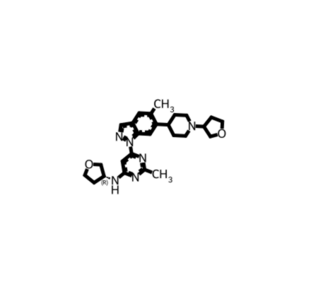 Cc1nc(N[C@@H]2CCOC2)cc(-n2ncc3cc(C)c(C4CCN(C5CCOC5)CC4)cc32)n1